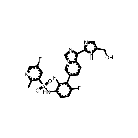 Cc1ncc(F)cc1S(=O)(=O)Nc1ccc(F)c(-c2ccc3c(-c4ncc(CO)[nH]4)ncn3c2)c1F